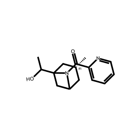 CC(O)C12CC(C[C@@H](C)C1)N2C(=O)c1ccccn1